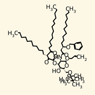 C=CCO[C@H]1O[C@H](CO[Si](C)(C)C(C)(C)C)[C@@H](O)[C@H](OC(=O)C(=O)[C@H](CCCCCCCCCCC)C(=O)CCCCCCCCCCCCC)[C@H]1NC(=O)C[C@@H](CCCCCCCCCCC)OCc1ccccc1